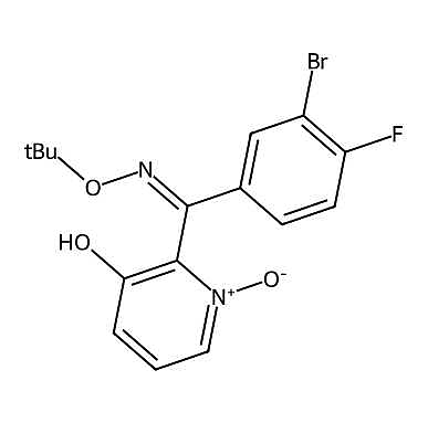 CC(C)(C)O/N=C(/c1ccc(F)c(Br)c1)c1c(O)ccc[n+]1[O-]